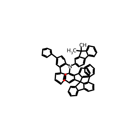 CC1(C)c2ccccc2-c2ccc(N(c3ccc(-c4ccccc4)cc3-c3ccccc3)c3cccc4c3-c3ccccc3C43c4ccccc4-c4cccc(-c5ccccc5)c43)cc21